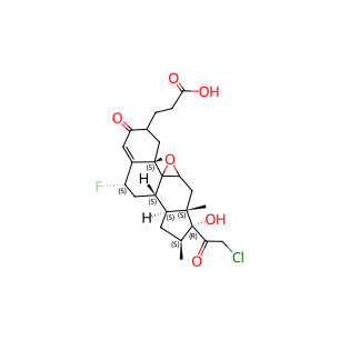 C[C@H]1C[C@H]2[C@@H]3C[C@H](F)C4=CC(=O)C(CCC(=O)O)C[C@]4(C)C34OC4C[C@]2(C)[C@@]1(O)C(=O)CCl